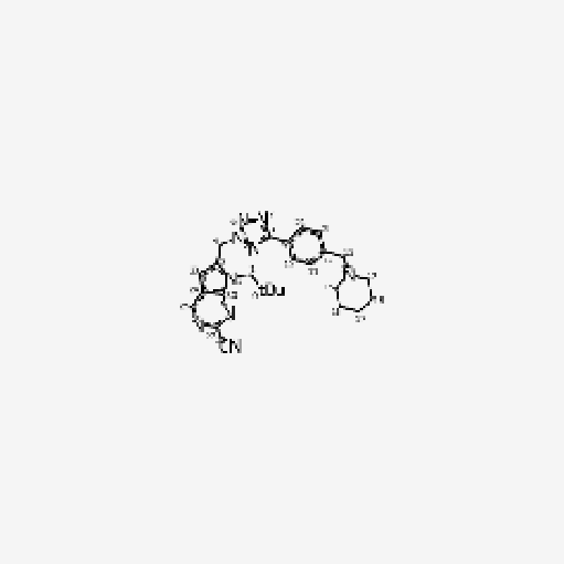 CC(C)(C)Cn1c(Cn2nnc(-c3ccc(CN4CCCCC4)cc3)n2)cc2cnc(C#N)nc21